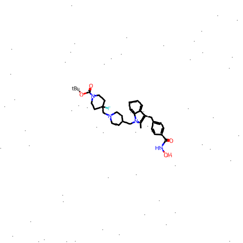 Cc1c(Cc2ccc(C(=O)NO)cc2)c2ccccc2n1CC1CCN(CC2(F)CCN(C(=O)OC(C)(C)C)CC2)CC1